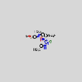 O=S(=O)(O)c1cccc(Nc2nc(Cl)nc(Nc3cc(S(=O)(=O)O)cc4cc(S(=O)(=O)O)c(N=Nc5ccc(SOC6CC6)cc5)c(O)c34)n2)c1